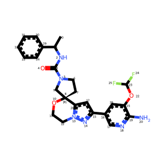 CC(NC(=O)N1CC[C@]2(C1)OCCn1nc(-c3cnc(N)c(OC(F)F)c3)cc12)c1ccccc1